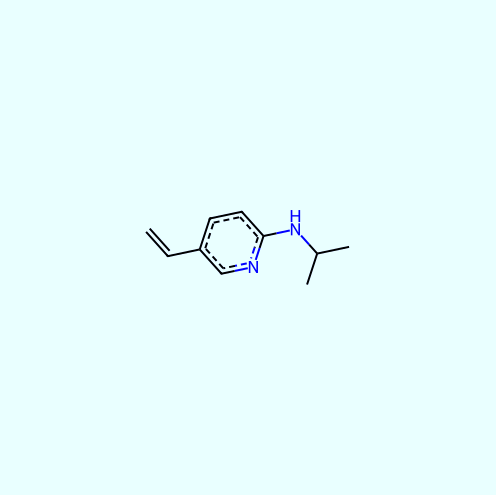 C=Cc1ccc(NC(C)C)nc1